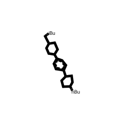 CCCCC1CCC(c2ccc(C3CCC(CC(C)CC)CC3)cc2)CC1